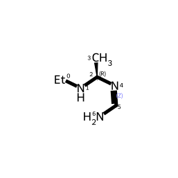 CCN[C@@H](C)/N=C\N